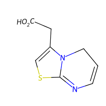 O=C(O)CC1=CSC2=NC=CCN12